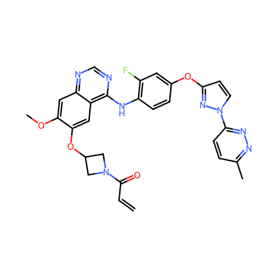 C=CC(=O)N1CC(Oc2cc3c(Nc4ccc(Oc5ccn(-c6ccc(C)nn6)n5)cc4F)ncnc3cc2OC)C1